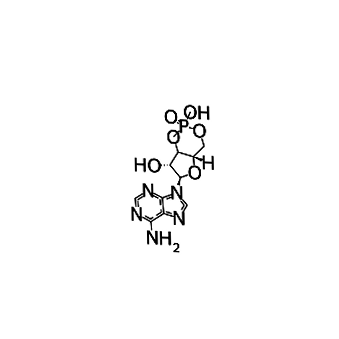 Nc1ncnc2c1ncn2[C@@H]1O[C@H]2COP(=O)(O)OC2[C@H]1O